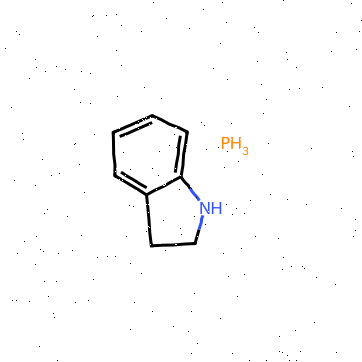 P.c1ccc2c(c1)CCN2